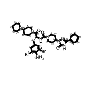 Nc1c(Br)cc(C[C@@H](NC(=O)N2CCC(n3nc(-c4ccccc4)[nH]c3=O)CC2)C(=O)N2CCC(N3CCCCC3)CC2)cc1Br